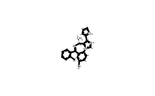 C[C@H]1N=C(c2ccccc2I)c2cc(Br)ccc2-n2cnc(-c3ccco3)c21